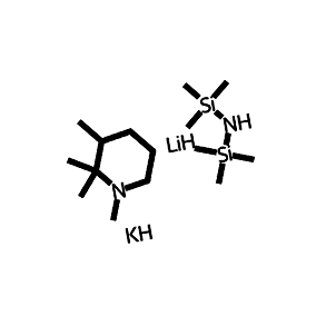 CC1CCCN(C)C1(C)C.C[Si](C)(C)N[Si](C)(C)C.[KH].[LiH]